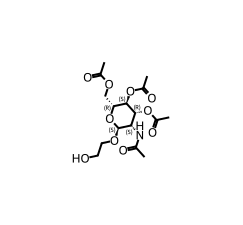 CC(=O)N[C@@H]1[C@@H](OCCO)O[C@H](COC(C)=O)[C@@H](OC(C)=O)[C@@H]1OC(C)=O